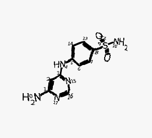 Nc1cc(Nc2ccc(S(N)(=O)=O)cc2)ncn1